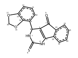 O=C1C2=C(NC(=S)NC2c2cccc3c2OCO3)c2ccccc21